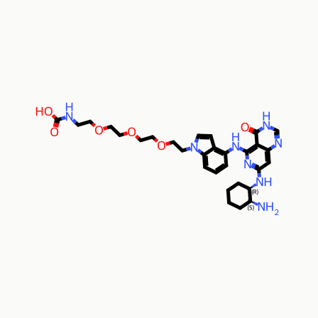 N[C@H]1CCCC[C@H]1Nc1cc2nc[nH]c(=O)c2c(Nc2cccc3c2ccn3CCOCCOCCOCCNC(=O)O)n1